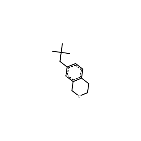 CC(C)(C)Cc1ccc2c(n1)COCC2